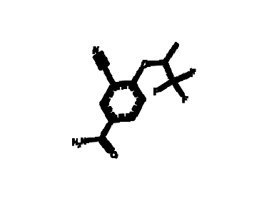 CC(Oc1ccc(C(N)=O)cc1C#N)C(F)(F)F